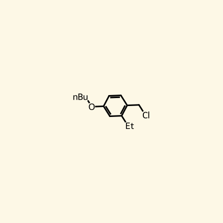 CCCCOc1ccc(CCl)c(CC)c1